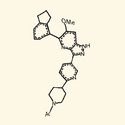 COc1cc2[nH]nc(-c3ccc(C4CCN(C(C)=O)CC4)nc3)c2nc1-c1cccc2c1CCC2